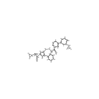 COc1cc(-c2cccc(C(=O)N3CCc4cc(C(=O)NC5CC5)sc4-c4ccccc43)n2)ccn1